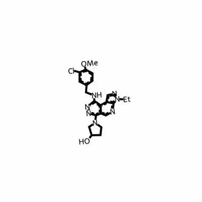 CCn1ncc2c3c(NCc4ccc(OC)c(Cl)c4)nnc(N4CCC(O)C4)c3cnc21